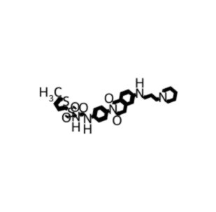 Cc1ccc(S(=O)(=O)NC(=O)Nc2ccc(N3C(=O)Cc4cc(NCCCN5CCCCC5)ccc4C3=O)cc2)s1